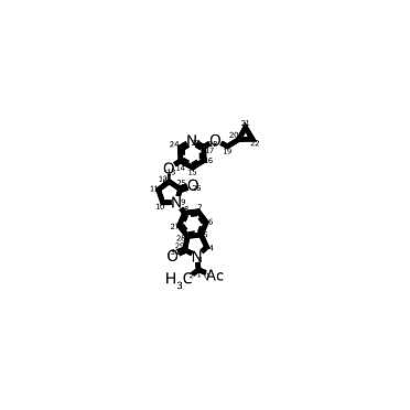 CC(=O)C(C)N1Cc2ccc(N3CC[C@@H](Oc4ccc(OCC5CC5)nc4)C3=O)cc2C1=O